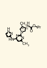 Cc1cc(Nc2cc[nH]n2)nc(N2C[C@@H](C)[C@H](NC(=O)OC(C)C)C2)n1